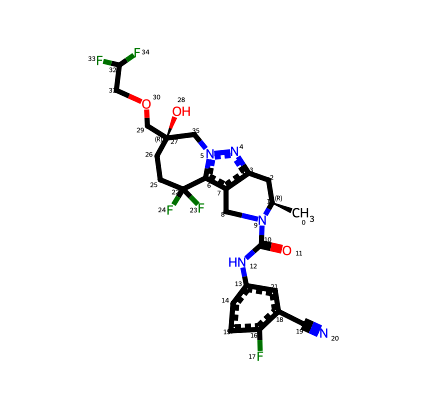 C[C@@H]1Cc2nn3c(c2CN1C(=O)Nc1ccc(F)c(C#N)c1)C(F)(F)CC[C@](O)(COCC(F)F)C3